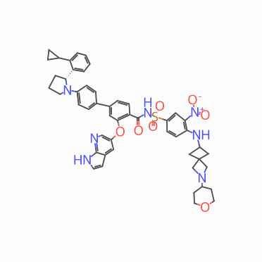 O=C(NS(=O)(=O)c1ccc(NC2CC3(C2)CN(C2CCOCC2)C3)c([N+](=O)[O-])c1)c1ccc(-c2ccc(N3CCC[C@@H]3c3ccccc3C3CC3)cc2)cc1Oc1cnc2[nH]ccc2c1